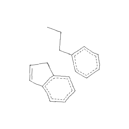 C1=Cc2ccccc2C1.CCCc1ccccc1